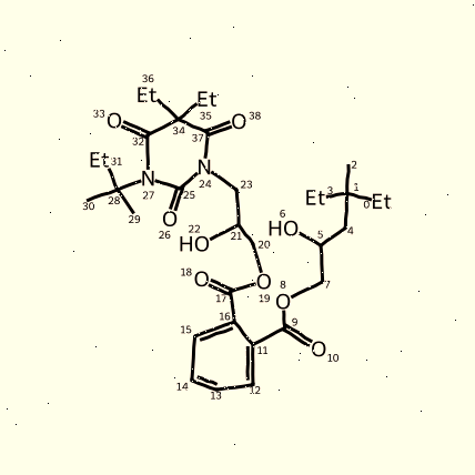 CCC(C)(CC)CC(O)COC(=O)c1ccccc1C(=O)OCC(O)CN1C(=O)N(C(C)(C)CC)C(=O)C(CC)(CC)C1=O